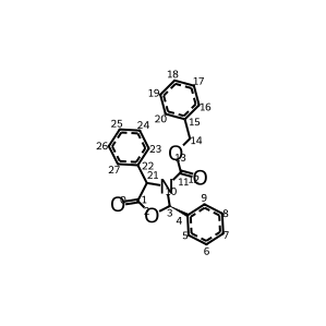 O=C1O[C@H](c2ccccc2)N(C(=O)OCc2ccccc2)C1c1ccccc1